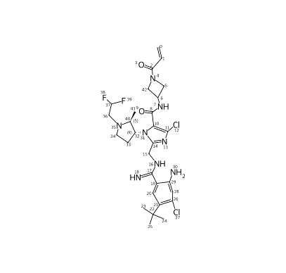 C=CC(=O)N1CC(NC(=O)c2c(Cl)nc(CNC(=N)c3cc(C(C)(C)C)c(Cl)cc3N)n2[C@@H]2CCN(CC(F)F)[C@H]2C)C1